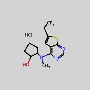 CN(c1ncnc2sc(CC(F)(F)F)cc12)C1CCCC1O.Cl